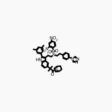 Cc1cc(C)cc(-c2[nH]c3ccc(C(C)(C)C(=O)N4C5CCC4CC5)cc3c2[C@H](C)CN(CCc2ccc(-n3cnnc3)cc2)S(=O)(=O)c2ccc([N+](=O)[O-])cc2[N+](=O)[O-])c1